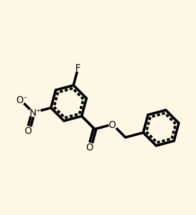 O=C(OCc1ccccc1)c1cc(F)cc([N+](=O)[O-])c1